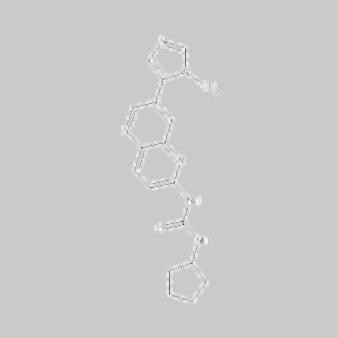 Cn1cncc1-c1cnc2ccc(NC(=O)NC3CCCC3)nc2c1